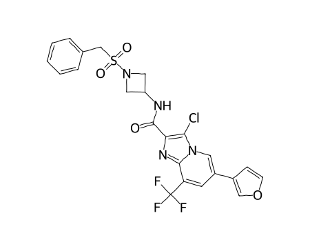 O=C(NC1CN(S(=O)(=O)Cc2ccccc2)C1)c1nc2c(C(F)(F)F)cc(-c3ccoc3)cn2c1Cl